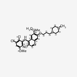 COc1cc(Cl)c(Cl)c(Nc2c(C#N)cnc3cc(OCCCN4CCN(C)CC4)c(OC)cc23)c1.O